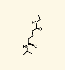 CCNC(=O)CCCC(=O)NC(C)C